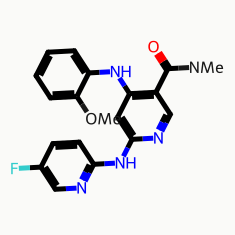 CNC(=O)c1cnc(Nc2ccc(F)cn2)cc1Nc1ccccc1OC